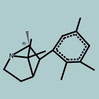 Cc1cc(C)c(C)c(C2C3CCN([C@@H]2C)C3(C)C)c1